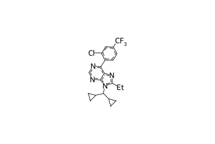 CCc1nc2c(-c3ccc(C(F)(F)F)cc3Cl)ncnc2n1C(C1CC1)C1CC1